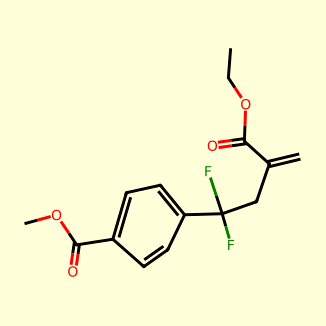 C=C(CC(F)(F)c1ccc(C(=O)OC)cc1)C(=O)OCC